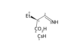 CC[C@@H](C=N)C(=O)O.[CsH]